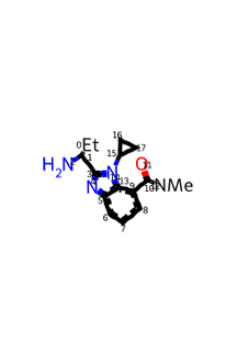 CCC(N)c1nc2cccc(C(=O)NC)c2n1C1CC1